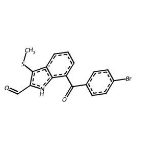 CSc1c(C=O)[nH]c2c(C(=O)c3ccc(Br)cc3)cccc12